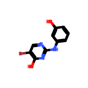 Oc1cccc(Nc2ncc(Br)c(O)n2)c1